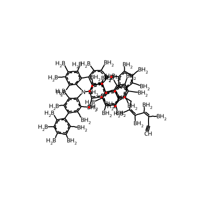 B/C(C#C)=C(B)/C(B)=C(/B)Cn1c2c(B)c(B)c(B)c(B)c2c2c(-c3c(B)c(B)c(B)c(-c4c(B)c(B)c(B)c(B)c4N(c4c(B)c(B)c(-c5c(B)c(B)c(B)c(B)c5B)c(B)c4B)c4c(B)c(B)c(-c5c(B)c(B)c(B)c(B)c5B)c(B)c4B)c3B)c(B)c(B)c(B)c21